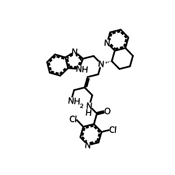 NCC(=CCN(Cc1nc2ccccc2[nH]1)[C@H]1CCCc2cccnc21)CNC(=O)c1c(Cl)cncc1Cl